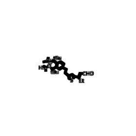 CCC(=CC=O)c1cc(CCc2ccc(C(O[SiH](C)C)C(C)(C)C)c(C(O[SiH](C)C)C(C)(C)C)c2)cs1